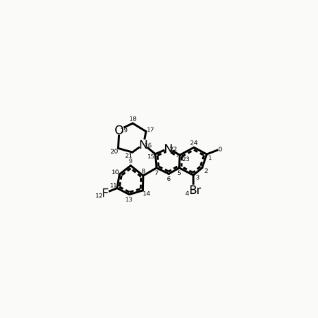 Cc1cc(Br)c2cc(-c3ccc(F)cc3)c(N3CCOCC3)nc2c1